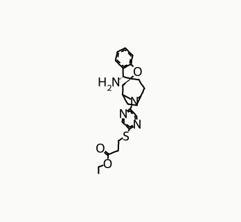 CCOC(=O)CCSc1cnc(N2C3CCC2C[C@]2(CC3)Oc3ccccc3[C@H]2N)cn1